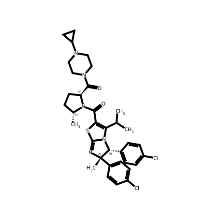 CC(C)C1=C(C(=O)N2[C@H](C)CC[C@H]2C(=O)N2CCN(C3CC3)CC2)SC2=N[C@@](C)(c3ccc(Cl)cc3)[C@@H](c3ccc(Cl)cc3)N21